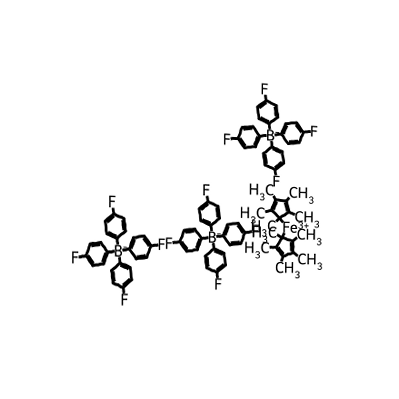 CC1=C(C)[C](C)([Fe+3][C]2(C)C(C)=C(C)C(C)=C2C)C(C)=C1C.Fc1ccc([B-](c2ccc(F)cc2)(c2ccc(F)cc2)c2ccc(F)cc2)cc1.Fc1ccc([B-](c2ccc(F)cc2)(c2ccc(F)cc2)c2ccc(F)cc2)cc1.Fc1ccc([B-](c2ccc(F)cc2)(c2ccc(F)cc2)c2ccc(F)cc2)cc1